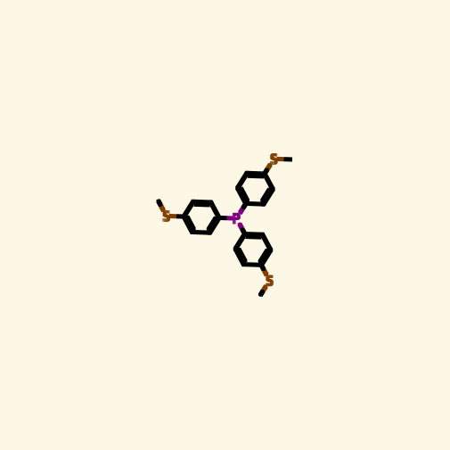 CSc1ccc(P(c2ccc(SC)cc2)c2ccc(SC)cc2)cc1